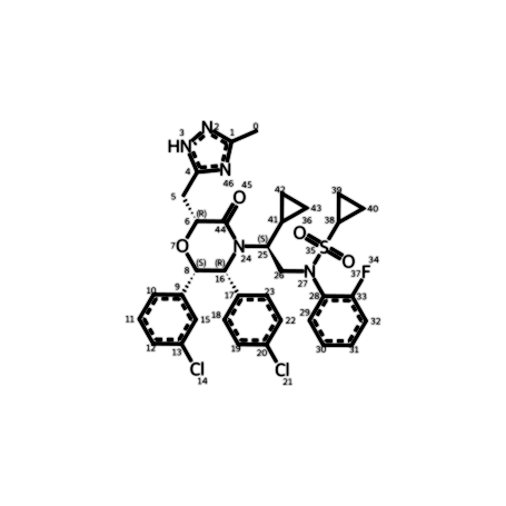 Cc1n[nH]c(C[C@H]2O[C@@H](c3cccc(Cl)c3)[C@@H](c3ccc(Cl)cc3)N([C@H](CN(c3ccccc3F)S(=O)(=O)C3CC3)C3CC3)C2=O)n1